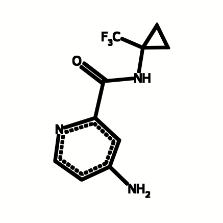 Nc1ccnc(C(=O)NC2(C(F)(F)F)CC2)c1